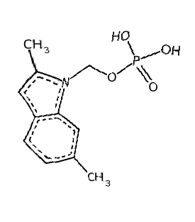 Cc1ccc2cc(C)n(COP(=O)(O)O)c2c1